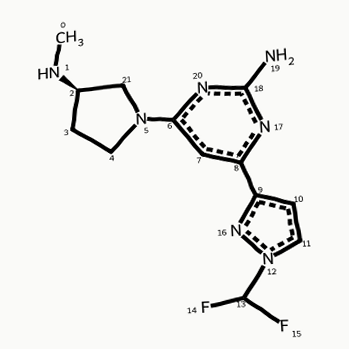 CN[C@@H]1CCN(c2cc(-c3ccn(C(F)F)n3)nc(N)n2)C1